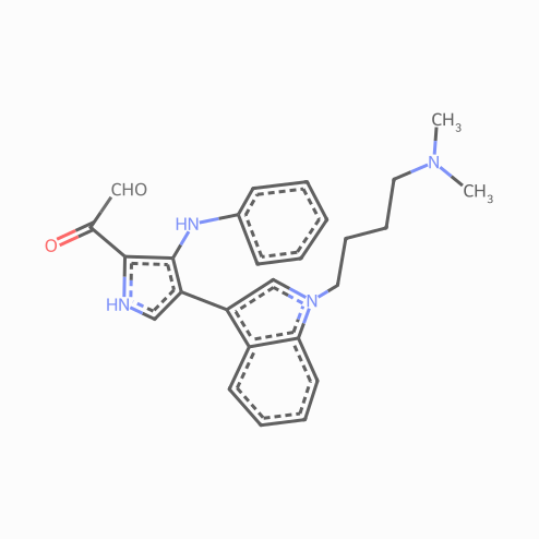 CN(C)CCCCn1cc(-c2c[nH]c(C(=O)C=O)c2Nc2ccccc2)c2ccccc21